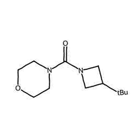 CC(C)(C)C1CN(C(=O)N2CCOCC2)C1